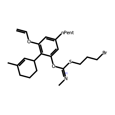 C=COc1cc(CCCCC)cc(O/C(=N\C)SCCCBr)c1C1C=C(C)CCC1